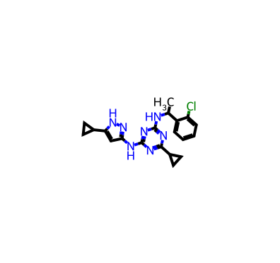 CC(Nc1nc(Nc2cc(C3CC3)[nH]n2)nc(C2CC2)n1)c1ccccc1Cl